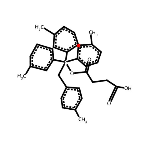 Cc1ccc(CP(OC(=O)CCC(=O)O)(c2cccc(C)c2)(c2cccc(C)c2)c2cccc(C)c2)cc1